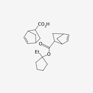 CCC1(OC(=O)C2CC3C=CC2C3)CCCC1.O=C(O)C1CC2C=CC1C2